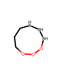 B1BCCCOOOB1